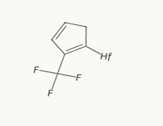 FC(F)(F)C1=[C]([Hf])CC=C1